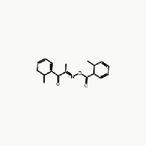 C/C(=N\OC(=O)C1C=CC=CC1C)C(=O)C1=CC=CCC1C